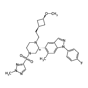 CO[C@H]1C[C@@H](CCN2CCN(S(=O)(=O)c3cnn(C)n3)C[C@H]2c2cc3cnn(-c4ccc(F)cc4)c3cc2C)C1